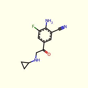 N#Cc1cc(C(=O)CNC2CC2)cc(F)c1N